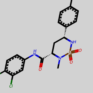 Cc1ccc([C@H]2C[C@@H](C(=O)Nc3ccc(F)c(Cl)c3)N(C)S(=O)(=O)N2)cc1